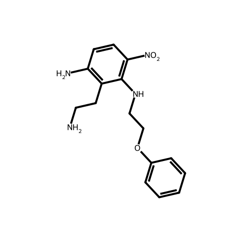 NCCc1c(N)ccc([N+](=O)[O-])c1NCCOc1ccccc1